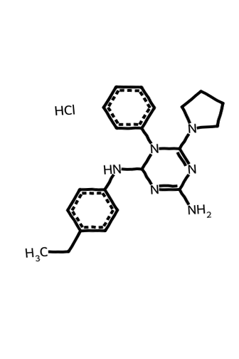 CCc1ccc(NC2N=C(N)N=C(N3CCCC3)N2c2ccccc2)cc1.Cl